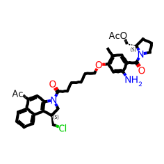 CC(=O)OC[C@@H]1CCCN1C(=O)c1cc(C)c(OCCCCCC(=O)N2C[C@@H](CCl)c3c2cc(C(C)=O)c2ccccc32)cc1N